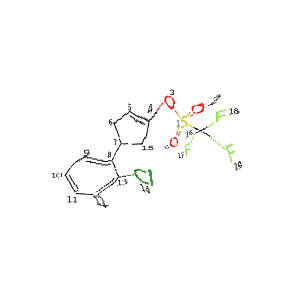 O=S(=O)(OC1=CCC(c2ccccc2Cl)C1)C(F)(F)F